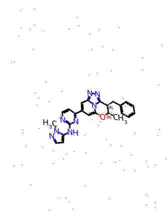 C[C@H]1Oc2cc(-c3ccnc(Nc4ccnn4C)n3)cc3nnc(n23)[C@H]1Cc1ccccc1